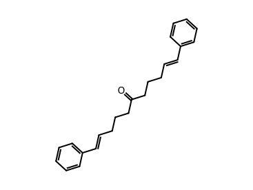 O=C(CCC/C=C/c1ccccc1)CCC/C=C/c1ccccc1